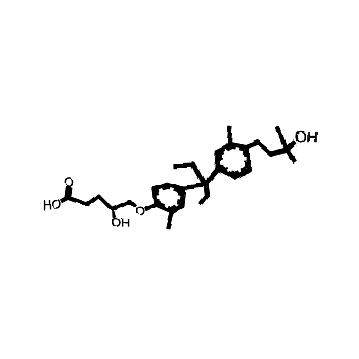 CCC(CC)(c1ccc(CCC(C)(C)O)c(C)c1)c1ccc(OC[C@@H](O)CCC(=O)O)c(C)c1